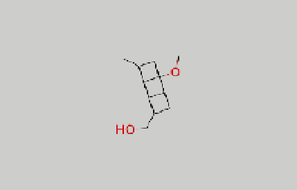 COC12C3C4C1C1(C)C2C3C41CO